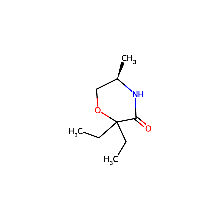 CCC1(CC)OC[C@@H](C)NC1=O